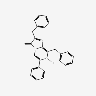 Nn1c(-c2ccccc2)cn2c(=O)c(Cc3ccccc3)nc-2c1Cc1ccccc1